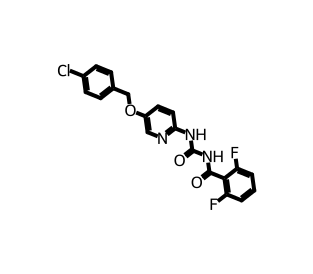 O=C(NC(=O)c1c(F)cccc1F)Nc1ccc(OCc2ccc(Cl)cc2)cn1